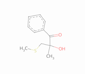 CSCC(C)(O)C(=O)c1ccccc1